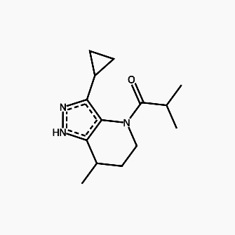 CC(C)C(=O)N1CCC(C)c2[nH]nc(C3CC3)c21